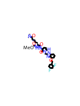 COC(=O)N[C@@H](CC/C=C/C(=O)N(C)C)C(=O)Nc1cccn(Cc2nc3c(OCc4ccc(F)cc4F)cccc3[nH]2)c1=O